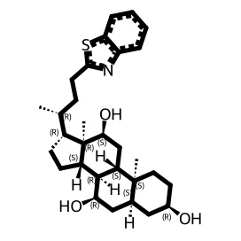 C[C@H](CCc1nc2ccccc2s1)[C@H]1CC[C@H]2[C@@H]3[C@H](O)C[C@@H]4C[C@H](O)CC[C@]4(C)[C@H]3C[C@H](O)[C@]12C